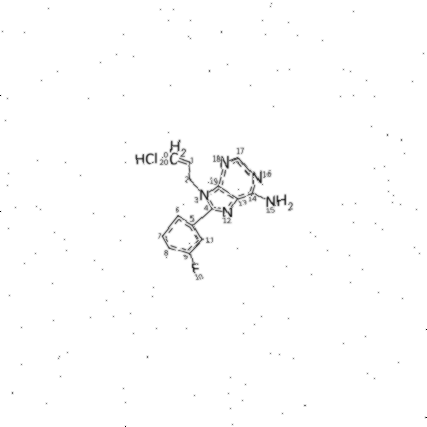 C=CCn1c(-c2cccc(F)c2)nc2c(N)ncnc21.Cl